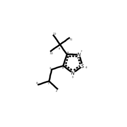 CC(C)Cc1nsnc1C(C)(C)C